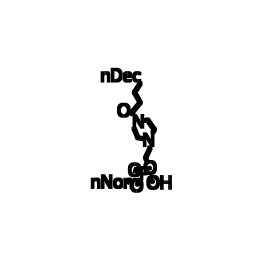 CCCCCCCCCCCCCC(=O)N1CCN(CCOP(=O)(O)OCCCCCCCCC)CC1